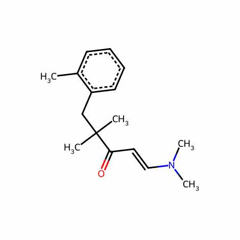 Cc1ccccc1CC(C)(C)C(=O)C=CN(C)C